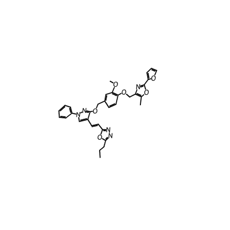 CCCc1nnc(/C=C/c2cn(-c3ccccc3)nc2OCc2ccc(OCc3nc(-c4ccco4)oc3C)c(OC)c2)o1